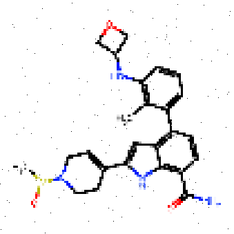 Cc1c(NC2COC2)cccc1-c1ccc(C(N)=O)c2[nH]c(C3=CCN([S+](C)[O-])CC3)cc12